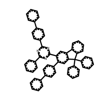 c1ccc(-c2ccc(-c3nc(-c4ccccc4)nc(-c4cc5c(cc4-c4ccc(-c6ccccc6)cc4)C(c4ccccc4)(c4ccccc4)c4ccccc4-5)n3)cc2)cc1